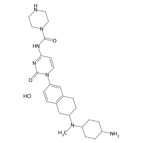 CN(C1CCC(N)CC1)C1CCc2cc(-n3ccc(NC(=O)N4CCNCC4)nc3=O)ccc2C1.Cl